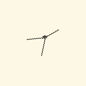 CCCCCCCCCCCCCCCCc1n(CCCCCCCCCCCCC)cc[n+]1CCCCCCCCCCCCCCC